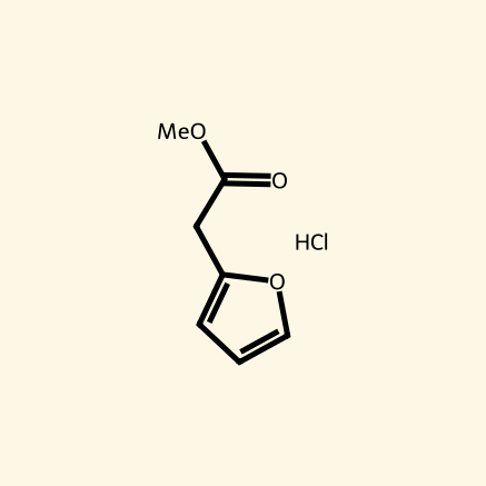 COC(=O)Cc1ccco1.Cl